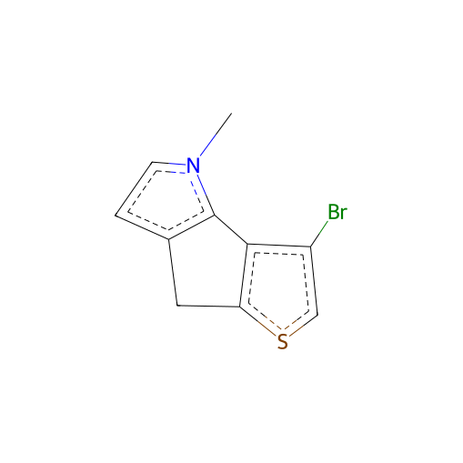 Cn1ccc2c1-c1c(Br)csc1C2